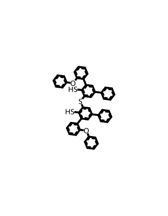 Sc1c(Sc2cc(-c3ccccc3)cc(-c3ccccc3Oc3ccccc3)c2S)cc(-c2ccccc2)cc1-c1ccccc1Oc1ccccc1